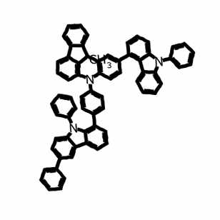 CC12c3ccccc3-c3cccc(c31)N(c1ccc(-c3cccc4c5cc(-c6ccccc6)ccc5n(-c5ccccc5)c34)cc1)c1ccc(-c3cccc4c3c3ccccc3n4-c3ccccc3)cc12